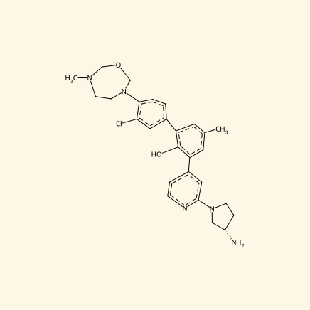 Cc1cc(-c2ccnc(N3CC[C@H](N)C3)c2)c(O)c(-c2ccc(N3CCN(C)COC3)c(Cl)c2)c1